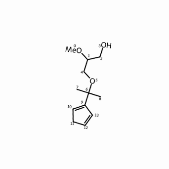 COC(CO)COC(C)(C)C1=CCC=C1